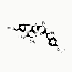 CC[C@H](C)[C@H](NC(=O)[C@@H](N)Cc1ccc(OS(=O)(=O)O)cc1)C(=O)N[C@@H](Cc1ccc(OS(=O)(=O)O)cc1)C(=O)N[C@H](C(=O)O)[C@@H](C)O